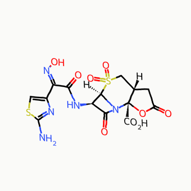 Nc1nc(/C(=N/O)C(=O)N[C@@H]2C(=O)N3[C@@H]2S(=O)(=O)C[C@@H]2CC(=O)O[C@@]23C(=O)O)cs1